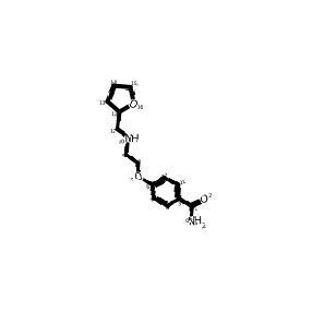 NC(=O)c1ccc(OCCNCC2CCCO2)cc1